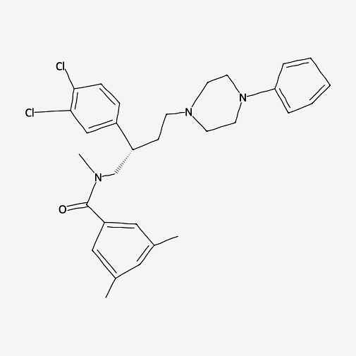 Cc1cc(C)cc(C(=O)N(C)C[C@@H](CCN2CCN(c3ccccc3)CC2)c2ccc(Cl)c(Cl)c2)c1